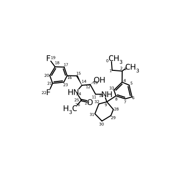 CCC(C)c1cccc(C2(NC[C@@H](O)[C@H](Cc3cc(F)cc(F)c3)NC(C)=O)CCCCC2)c1